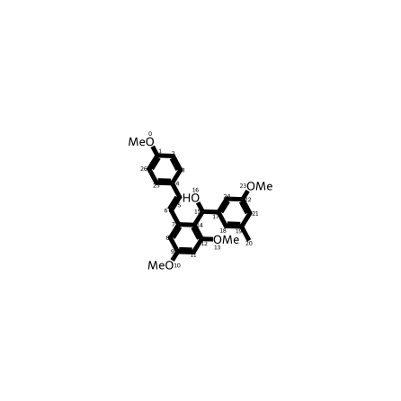 COc1ccc(/C=C/c2cc(OC)cc(OC)c2C(O)c2cc(C)cc(OC)c2)cc1